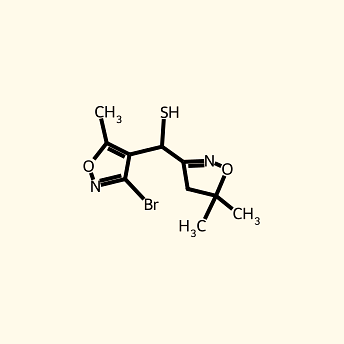 Cc1onc(Br)c1C(S)C1=NOC(C)(C)C1